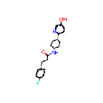 O=C(CCc1ccc(F)cc1)N[C@H]1CC[C@H](c2ccc(O)cn2)CC1